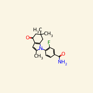 Cc1cc2c(n1-c1ccc(C(N)=O)cc1F)CC(C)(C)CC2=O